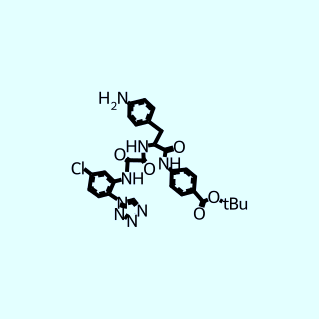 CC(C)(C)OC(=O)c1ccc(NC(=O)C(Cc2ccc(N)cc2)NC(=O)C(=O)Nc2cc(Cl)ccc2-n2cnnn2)cc1